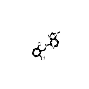 Cn1cnc2c(SCc3c(Cl)cccc3Cl)nccc21